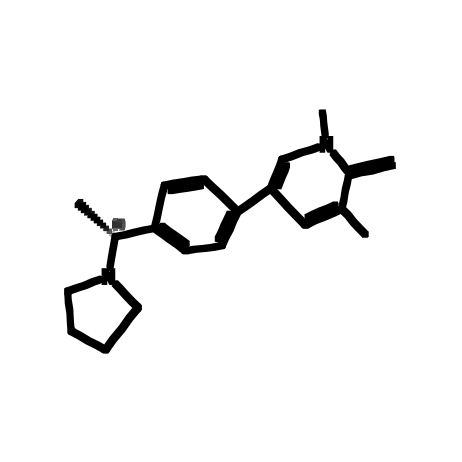 C=C1C(C)=CC(c2ccc([C@@H](C)N3CCCC3)cc2)=CN1C